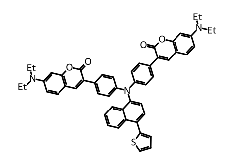 CCN(CC)c1ccc2cc(-c3ccc(N(c4ccc(-c5cc6ccc(N(CC)CC)cc6oc5=O)cc4)c4ccc(-c5cccs5)c5ccccc45)cc3)c(=O)oc2c1